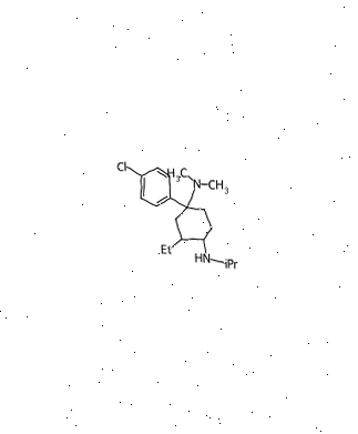 CCC1CC(c2ccc(Cl)cc2)(N(C)C)CCC1NC(C)C